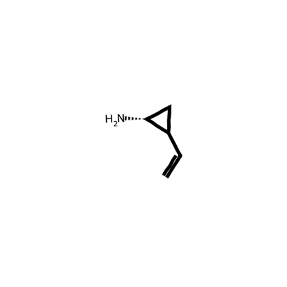 C=CC1C[C@H]1N